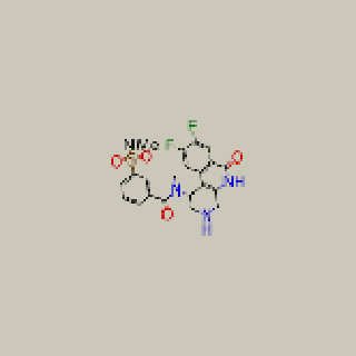 CNS(=O)(=O)c1cccc(C(=O)N(C)[C@H]2CNCc3[nH]c(=O)c4cc(F)c(F)cc4c32)c1